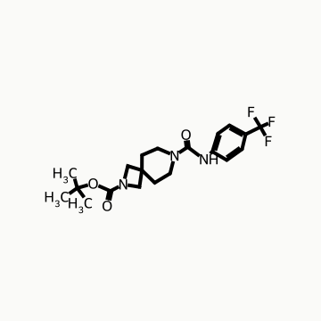 CC(C)(C)OC(=O)N1CC2(CCN(C(=O)Nc3ccc(C(F)(F)F)cc3)CC2)C1